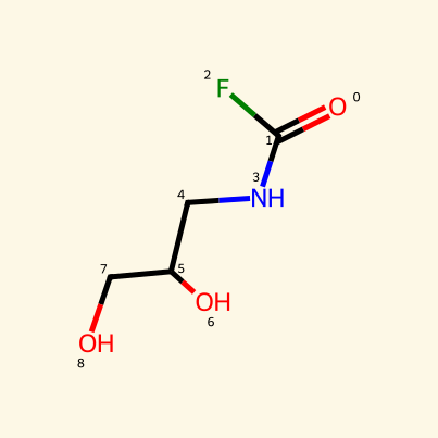 O=C(F)NCC(O)CO